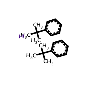 CC(C)(C)c1ccccc1.CC(C)(C)c1ccccc1.I